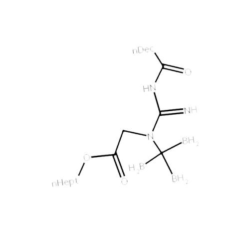 BC(B)(B)N(CC(=O)OCCCCCCC)C(=N)NC(=O)CCCCCCCCCC